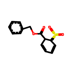 O=C(OCc1ccccc1)C1C=CC=CC1=S(=O)=O